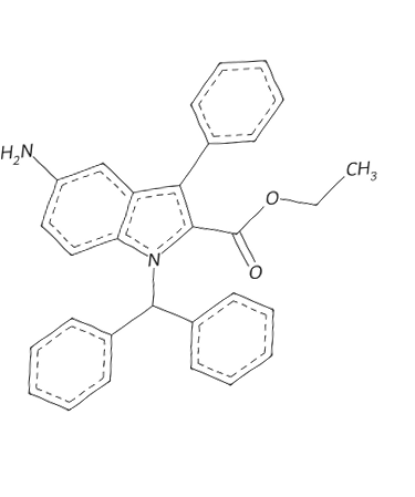 CCOC(=O)c1c(-c2ccccc2)c2cc(N)ccc2n1C(c1ccccc1)c1ccccc1